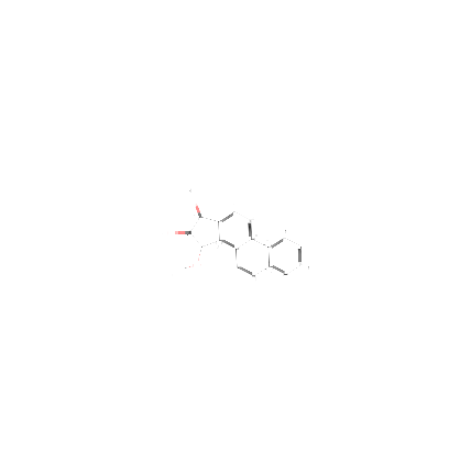 COC1C(=O)C(=O)c2ccc3c(ccc4ccccc43)c21